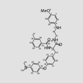 COc1ccc(NCCNC(=O)C(Cc2ccc(Oc3ccc(N(C)C)cc3)cc2)NC(=O)c2cccc(C)c2)cc1